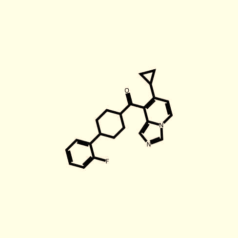 O=C(c1c(C2CC2)ccn2cncc12)C1CCC(c2ccccc2F)CC1